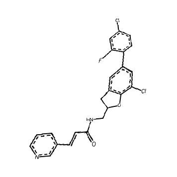 O=C(C=Cc1cccnc1)NCC1Cc2cc(-c3ccc(Cl)cc3F)cc(Cl)c2O1